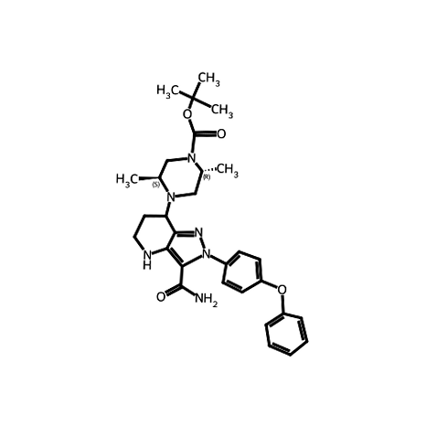 C[C@@H]1CN(C2CCNc3c2nn(-c2ccc(Oc4ccccc4)cc2)c3C(N)=O)[C@@H](C)CN1C(=O)OC(C)(C)C